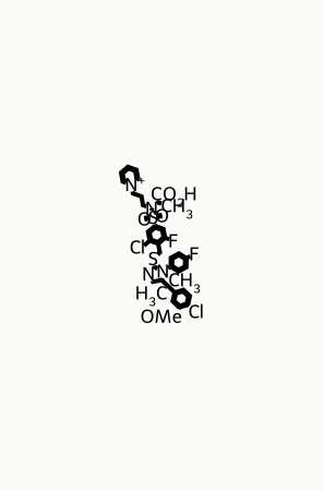 COc1cc(C(C)(C)C2CN=C(SCc3c(F)cc(S(=O)(=O)N(CCC[n+]4ccccc4)[C@H](C)C(=O)O)cc3Cl)N2c2ccc(F)cc2)ccc1Cl